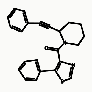 O=C(c1ncsc1-c1ccccc1)N1CCCCC1C#Cc1ccccc1